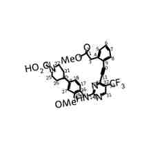 COC(=O)Cc1ccccc1C#Cc1nc(Nc2ccc(C3CCN(C(=O)O)CC3)cc2OC)ncc1C(F)(F)F